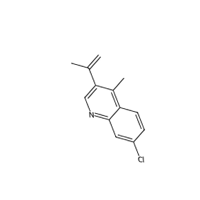 C=C(C)c1cnc2cc(Cl)ccc2c1C